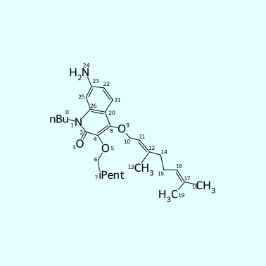 CCCCn1c(=O)c(OCC(C)CCC)c(OC/C=C(\C)CCC=C(C)C)c2ccc(N)cc21